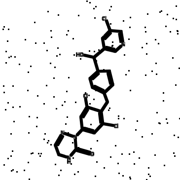 O=C1NCC=NN1c1cc(Cl)c(Cc2ccc(C(O)c3cncc(Cl)c3)cc2)c(Cl)c1